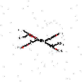 CCCCCCCCCCCOC(=O)CCCCCN(CCCCCCCC(=O)OC(CCCCCCCC)CCCCCCCC)CCN1CCN(CCN(CCCCCCCC(=O)OC(CCCCCCCC)CCCCCCCC)CCCCCC(=O)OCCCCCCCCCCC)CC1